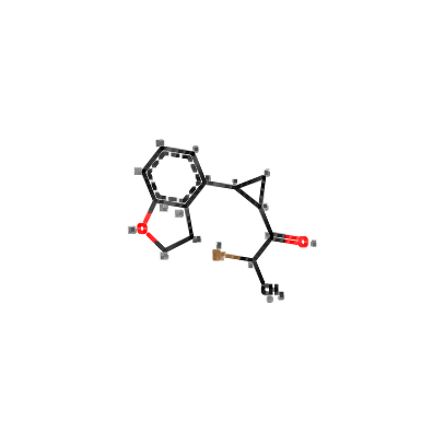 CC(Br)C(=O)C1CC1c1cccc2c1CCO2